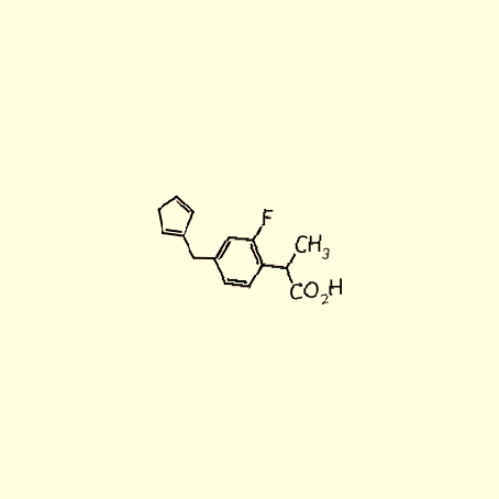 CC(C(=O)O)c1ccc(CC2=CCC=C2)cc1F